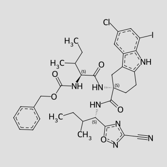 CCC(C)[C@H](NC(=O)OCc1ccccc1)C(=O)N[C@@]1(C(=O)N[C@H](c2nc(C#N)no2)C(C)CC)CCc2[nH]c3c(I)cc(Cl)cc3c2C1